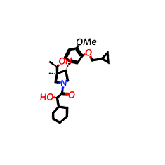 COc1ccc([C@@H]2CN(C(=O)[C@H](O)C3CCCCC3)C[C@@]2(C)[C@@H](C)O)cc1OCC1CC1